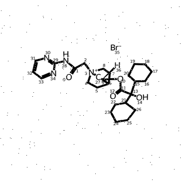 O=C(C[N+]12CCC(CC1)[C@@H](OC(=O)C(O)(C1CCCCC1)C1CCCCC1)C2)Nc1ncccn1.[Br-]